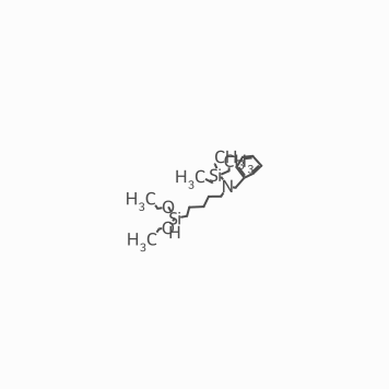 CCO[SiH](CCCCCN(Cc1ccccc1)[Si](CC)(CC)CC)OCC